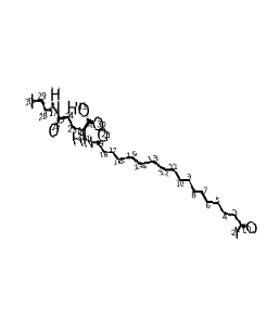 O=C(I)CCCCCCCCCCCCCCCCC(=O)N[C@@H](CCC(=O)NCCI)C(=O)O